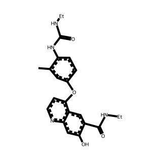 CCNC(=O)Nc1ccc(Oc2ccnc3cc(O)c(C(=O)NCC)cc23)cc1C